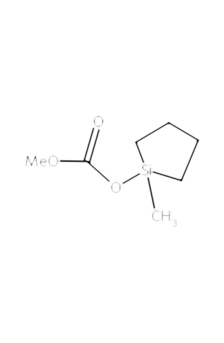 COC(=O)O[Si]1(C)CCCC1